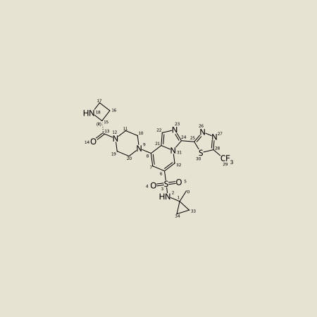 CC1(NS(=O)(=O)c2cc(N3CCN(C(=O)[C@H]4CCN4)CC3)c3cnc(-c4nnc(C(F)(F)F)s4)n3c2)CC1